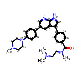 CN(C)CCN(C)C(=O)c1ccc(-c2c[nH]c3ncc(-c4ccc(N5CCN(C)CC5)cc4)cc23)cc1